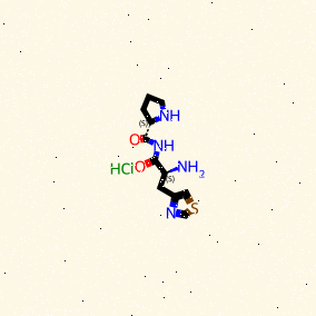 Cl.N[C@@H](Cc1cscn1)C(=O)NC(=O)[C@@H]1CCCN1